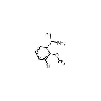 [2H]c1cccc(C([2H])N)c1OC(F)(F)F